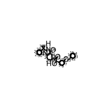 O=C(C(O)c1cccc(OCc2ccccc2)c1)N1CCCc2nc(C3(c4ccccc4)CC3)[nH]c(=O)c2C1